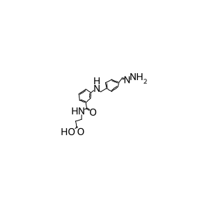 NN=Cc1ccc(CNc2cccc(C(=O)NCCC(=O)O)c2)cc1